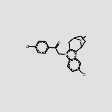 CN1C2CCC1c1c(n(CC(=O)c3ccc(Cl)cc3)c3ccc(Cl)cc13)C2